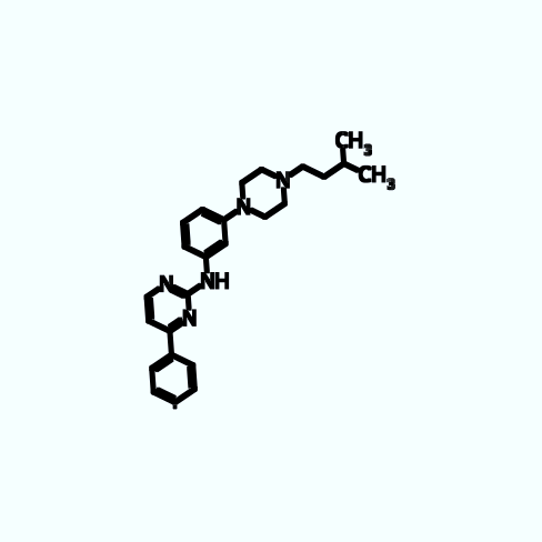 CC(C)CCN1CCN(c2cccc(Nc3nccc(-c4cc[c]cc4)n3)c2)CC1